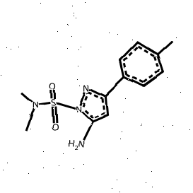 Cc1ccc(-c2cc(N)n(S(=O)(=O)N(C)C)n2)cc1